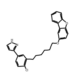 Clc1ccc(-c2cc[nH]n2)cc1CCCCCCOc1ccc2oc3ccccc3c2c1